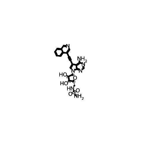 Nc1ncnc2c1c(C#Cc1cncc3ccccc13)cn2[C@@H]1O[C@H](CNS(N)(=O)=O)[C@@H](O)[C@H]1O